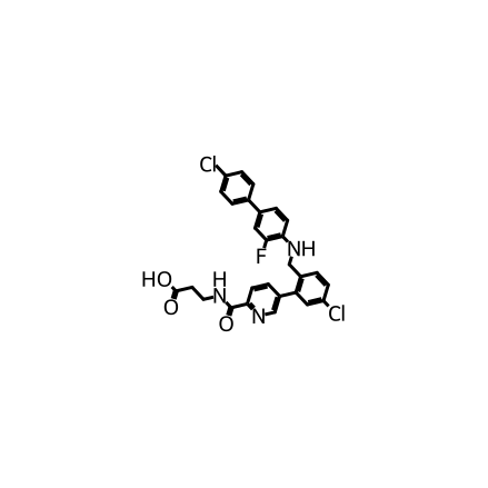 O=C(O)CCNC(=O)c1ccc(-c2cc(Cl)ccc2CNc2ccc(-c3ccc(Cl)cc3)cc2F)cn1